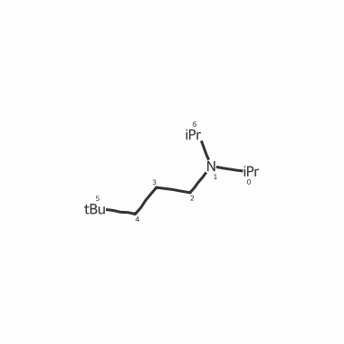 CC(C)N(CCCC(C)(C)C)C(C)C